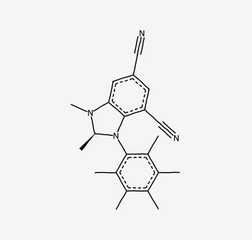 Cc1c(C)c(C)c(N2c3c(C#N)cc(C#N)cc3N(C)[C@@H]2C)c(C)c1C